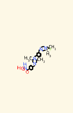 CC1CN(Cc2ccc(C(=O)NO)cc2)CC(C)N1Cc1cccc(CN2CCN(CC(C)(C)F)CC2)c1